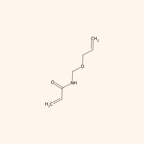 C=CCOCNC(=O)C=C